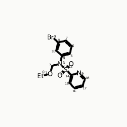 CCOCN(c1cccc(Br)c1)S(=O)(=O)c1ccccn1